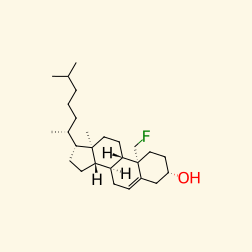 CC(C)CCC[C@@H](C)[C@H]1CC[C@H]2[C@@H]3CC=C4C[C@@H](O)CC[C@]4(CF)[C@H]3CC[C@]12C